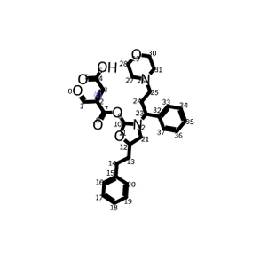 O=C/C(=C\C(=O)O)C(=O)OC1OC(CCc2ccccc2)CN1C(CCN1CCOCC1)c1ccccc1